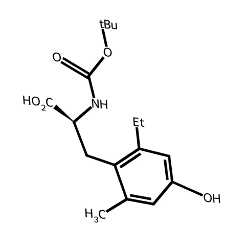 CCc1cc(O)cc(C)c1C[C@H](NC(=O)OC(C)(C)C)C(=O)O